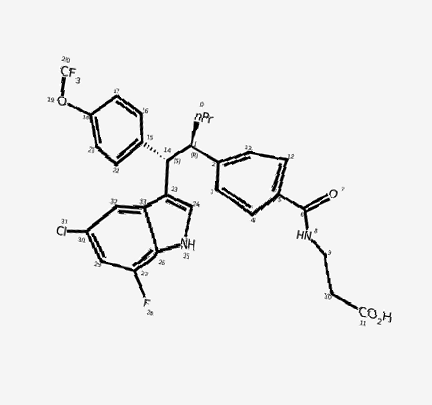 CCC[C@@H](c1ccc(C(=O)NCCC(=O)O)cc1)[C@@H](c1ccc(OC(F)(F)F)cc1)c1c[nH]c2c(F)cc(Cl)cc12